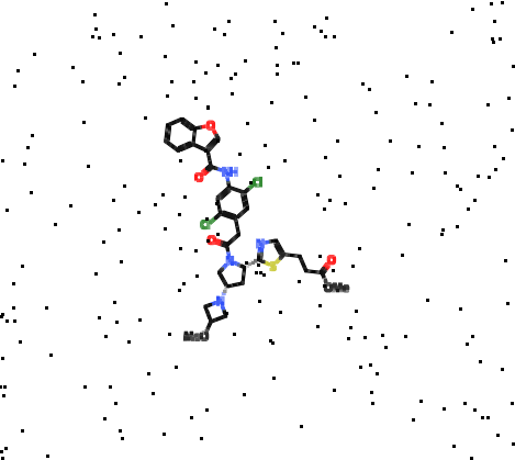 COC(=O)CCc1cnc([C@@H]2C[C@H](N3CC(OC)C3)CN2C(=O)Cc2cc(Cl)c(NC(=O)c3coc4ccccc34)cc2Cl)s1